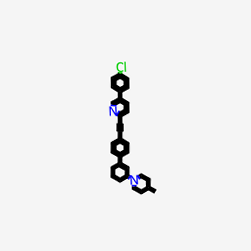 CC1CCN(C2C=C(c3ccc(C#Cc4ccc(-c5ccc(Cl)cc5)cn4)cc3)CCC2)CC1